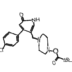 CC(C)(C)C(=O)ON1CCN(Cc2c[nH]c(=O)cc2-c2ccc(Cl)cc2)CC1